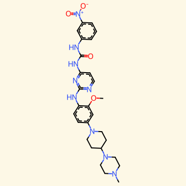 COc1cc(N2CCC(N3CCN(C)CC3)CC2)ccc1Nc1nccc(NC(=O)Nc2cccc([N+](=O)[O-])c2)n1